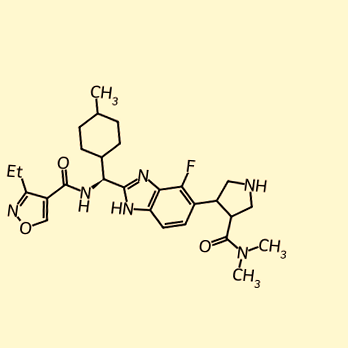 CCc1nocc1C(=O)N[C@H](c1nc2c(F)c(C3CNCC3C(=O)N(C)C)ccc2[nH]1)C1CCC(C)CC1